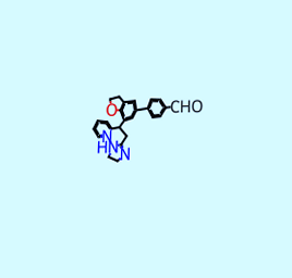 O=Cc1ccc(-c2cc3c(c(C(CC4=NCCN4)c4ccccn4)c2)OCC3)cc1